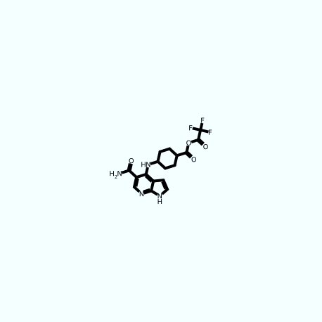 NC(=O)c1cnc2[nH]ccc2c1NC1CCC(C(=O)OC(=O)C(F)(F)F)CC1